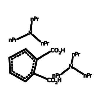 CCCN(CCC)CCC.CCCN(CCC)CCC.O=C(O)c1ccccc1C(=O)O